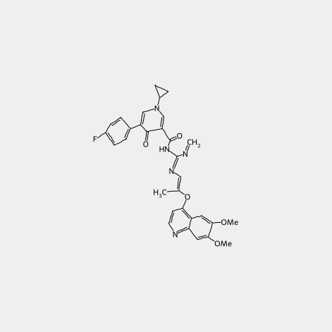 C=N/C(=N\C=C(/C)Oc1ccnc2cc(OC)c(OC)cc12)NC(=O)c1cn(C2CC2)cc(-c2ccc(F)cc2)c1=O